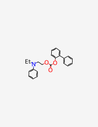 CCN(CCOC(=O)Oc1ccccc1-c1ccccc1)c1ccccc1